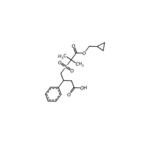 CC(C)(C(=O)OCC1CC1)S(=O)(=O)CC(CC(=O)O)c1ccccc1